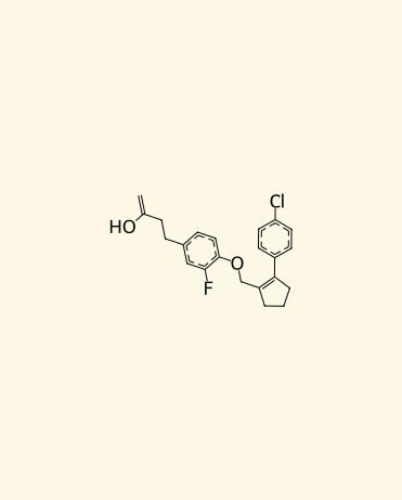 C=C(O)CCc1ccc(OCC2=C(c3ccc(Cl)cc3)CCC2)c(F)c1